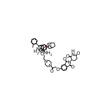 Cc1ccccc1/C(N)=C/C(=C(N)N)N1CC2CCC(C1)N2c1cccc(OCCN2CCN(C(=O)COc3ccc4c(c3)C(=O)N(C3CCC(=O)NC3=O)C4=O)CC2)c1